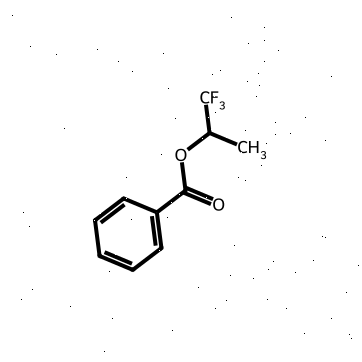 CC(OC(=O)c1ccccc1)C(F)(F)F